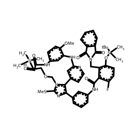 C=CC(=O)Nc1ccc(OC)c(Nc2cc(-c3c(-c4cccc(NC(=O)c5c(F)ccc(O[Si](C)(C)C(C)(C)C)c5CN5C(=O)c6ccccc6C5=O)c4)nc(SC)n3COCC[Si](C)(C)C)ccn2)c1